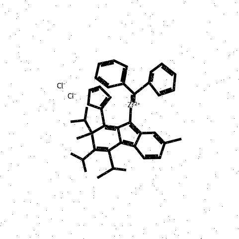 Cc1ccc2c(c1)=[C]([Zr+2]=[C](c1ccccc1)c1ccccc1)C1=C(C3=CC=CC3)C(C)(C(C)C)C(C(C)C)=C(C(C)C)C=21.[Cl-].[Cl-]